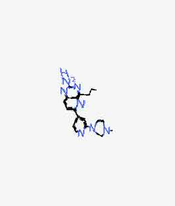 CCCc1nc(N)nc2ccc(-c3ccnc(N4CCN(C)CC4)c3)nc12